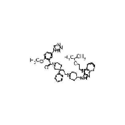 COc1ccc(-n2cnnn2)cc1C(=O)N1CCC(CCN2CCC(Nc3nc4ccccc4n3CCOC(C)C)CC2)(c2ccccc2)C1